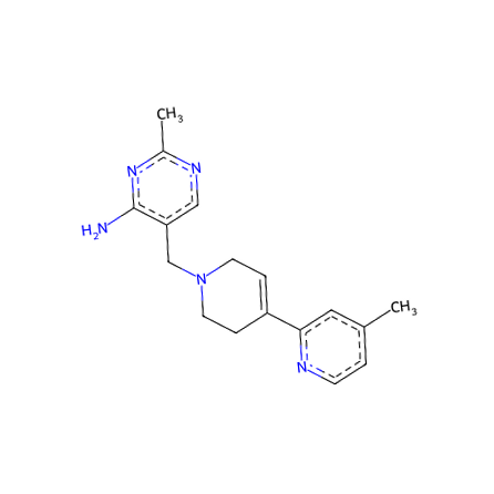 Cc1ccnc(C2=CCN(Cc3cnc(C)nc3N)CC2)c1